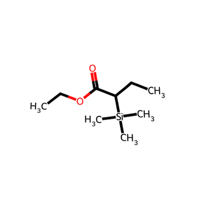 CCOC(=O)C(CC)[Si](C)(C)C